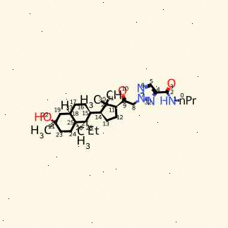 CCCNC(=O)c1cnn(CC(=O)[C@H]2CC[C@@H]([C@@H]3CC[C@@H]4C[C@](C)(O)CC[C@]4(C)[C@H]3CC)C2(C)C)n1